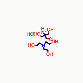 Cl.Cl.NC(CO)(CO)CO.OCCN(CCO)CCO